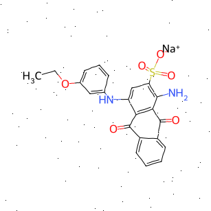 CCOc1cccc(Nc2cc(S(=O)(=O)[O-])c(N)c3c2C(=O)c2ccccc2C3=O)c1.[Na+]